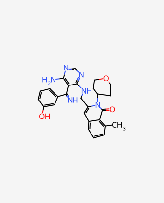 Cc1cccc2cc(CNc3ncnc(N)c3C(=N)c3cccc(O)c3)n(C3CCOCC3)c(=O)c12